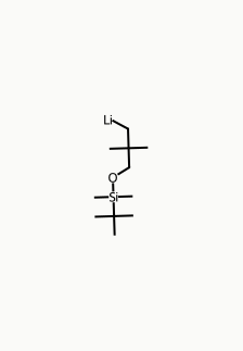 [Li][CH2]C(C)(C)CO[Si](C)(C)C(C)(C)C